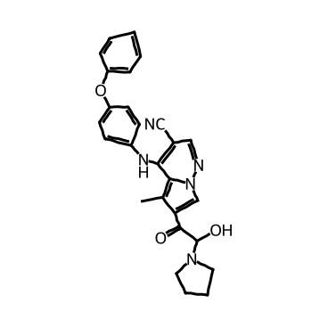 Cc1c(C(=O)C(O)N2CCCC2)cn2ncc(C#N)c(Nc3ccc(Oc4ccccc4)cc3)c12